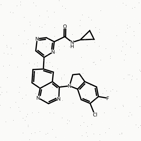 O=C(NC1CC1)c1cncc(-c2ccc3ncnc(N4CCc5cc(F)c(Cl)cc54)c3c2)n1